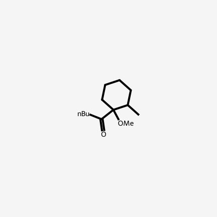 CCCCC(=O)C1(OC)CCCCC1C